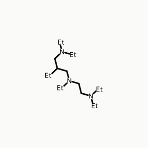 CCC(CN(CC)CC)CN(CC)CCN(CC)CC